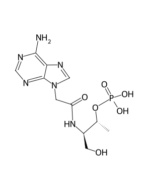 C[C@@H](OP(=O)(O)O)[C@@H](CO)NC(=O)Cn1cnc2c(N)ncnc21